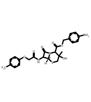 CC1(O)CS[C@@H]2C(NC(=O)COc3ccc(C(F)(F)F)cc3)C(=O)N2C1C(=O)OCc1ccc([N+](=O)[O-])cc1